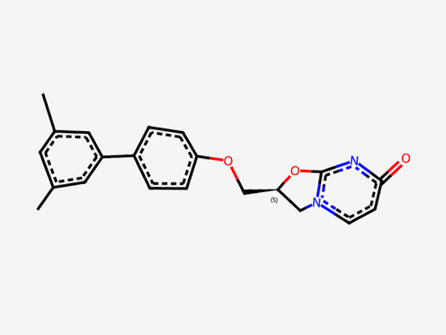 Cc1cc(C)cc(-c2ccc(OC[C@@H]3Cn4ccc(=O)nc4O3)cc2)c1